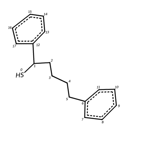 SC(CCCCc1ccccc1)c1ccccc1